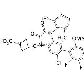 COc1ccc(F)c(F)c1-c1cc2c(cc1Cl)n(CC1CN(C(=O)O)C1)c(=O)c(=O)n2-c1c(C)cccc1C(C)C